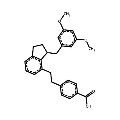 COc1cc(CC2CCc3cccc(CCc4ccc(C(=O)O)cc4)c32)cc(OC)c1